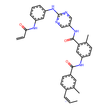 C=CC(=O)Nc1cccc(Nc2ncc(NC(=O)c3cc(NC(=O)c4ccc(/C=C\C)c(C)c4)ccc3C)cn2)c1